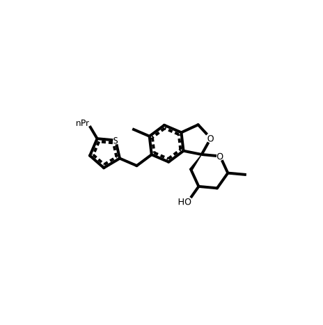 CCCc1ccc(Cc2cc3c(cc2C)CO[C@@]32CC(O)CC(C)O2)s1